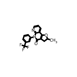 CC1Cc2c(c3cccnc3n(-c3cccc(C(F)(F)F)c3)c2=O)O1